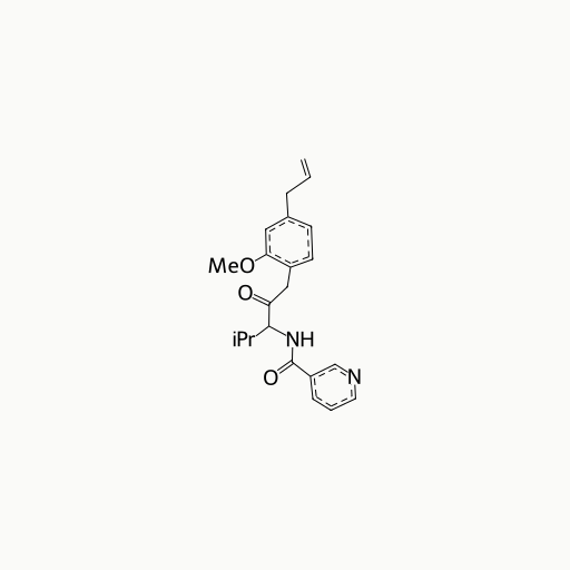 C=CCc1ccc(CC(=O)C(NC(=O)c2cccnc2)C(C)C)c(OC)c1